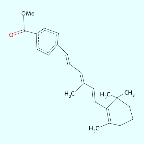 COC(=O)c1ccc(/C=C/C=C(C)/C=C/C2=C(C)CCCC2(C)C)cc1